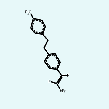 CCCC(F)=C(F)c1ccc(CCc2ccc(C(F)(F)F)cc2)cc1